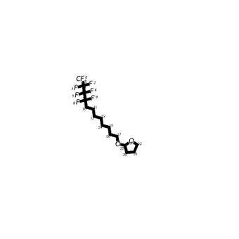 FC(F)(F)C(F)(F)C(F)(F)C(F)(F)CCCCCCCCOC1CCCO1